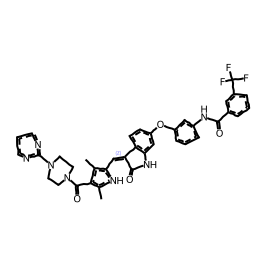 Cc1[nH]c(/C=C2\C(=O)Nc3cc(Oc4cccc(NC(=O)c5cccc(C(F)(F)F)c5)c4)ccc32)c(C)c1C(=O)N1CCN(c2ncccn2)CC1